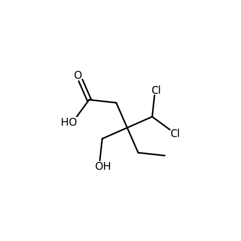 CCC(CO)(CC(=O)O)C(Cl)Cl